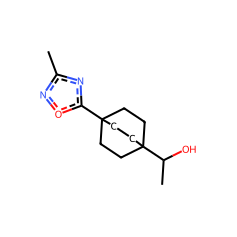 Cc1noc(C23CCC(C(C)O)(CC2)CC3)n1